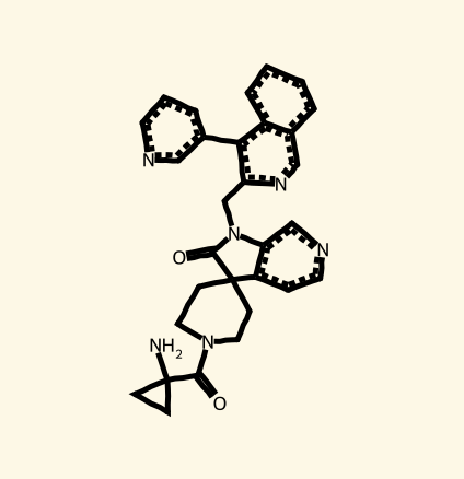 NC1(C(=O)N2CCC3(CC2)C(=O)N(Cc2ncc4ccccc4c2-c2cccnc2)c2cnccc23)CC1